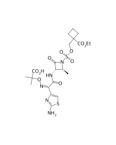 CCOC(=O)C1(COS(=O)(=O)N2C(=O)[C@@H](NC(=O)C(=NOC(C)(C)C(=O)O)c3csc(N)n3)[C@@H]2C)CCC1